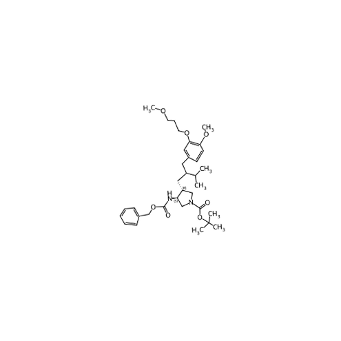 COCCCOc1cc(CC(C[C@@H]2CN(C(=O)OC(C)(C)C)C[C@H]2NC(=O)OCc2ccccc2)C(C)C)ccc1OC